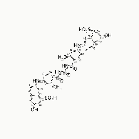 Cc1cc(Nc2ccc3cc(O)cc(S(=O)(=O)O)c3c2)ccc1C(=O)NC(=O)NC(=O)c1ccc(Nc2ccc3cc(O)cc(S(=O)(=O)O)c3c2)cc1C